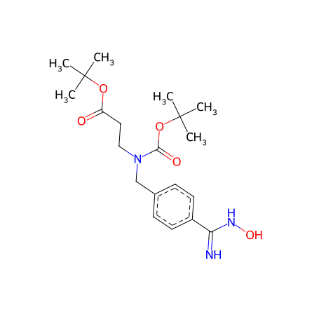 CC(C)(C)OC(=O)CCN(Cc1ccc(C(=N)NO)cc1)C(=O)OC(C)(C)C